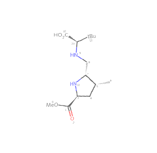 COC(=O)[C@@H]1C[C@@H](C)[C@@H](CN[C@@H](C(=O)O)C(C)(C)C)N1